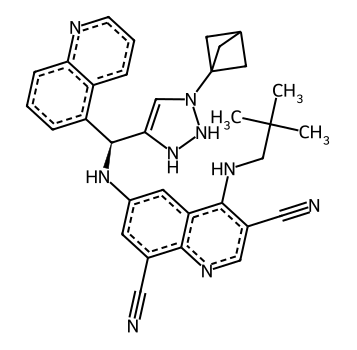 CC(C)(C)CNc1c(C#N)cnc2c(C#N)cc(N[C@H](C3=CN(C45CC(C4)C5)NN3)c3cccc4ncccc34)cc12